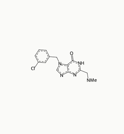 CNCc1nc2ncn(Cc3cccc(Cl)c3)c2c(=O)[nH]1